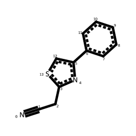 N#CCc1nc(-c2ccccc2)cs1